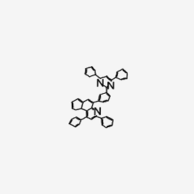 C1=CCC(c2cc(-c3ccccc3)nc(-c3cccc(C4=CC5=CC=CCC5c5c(-c6ccccc6)cc(-c6ccccc6)nc54)c3)n2)C=C1